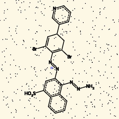 NN=Nc1c(/N=N/C2=C(Br)CC(c3cccnc3)C=C2Br)cc(S(=O)(=O)O)c2ccccc12